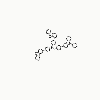 c1ccc(-n2c3ccccc3c3cc(-c4ccc(CN(c5ccc(-c6ccc7oc8ccccc8c7c6)cc5)c5ccc(-c6cccc7c6oc6ccccc67)cc5)cc4)ccc32)cc1